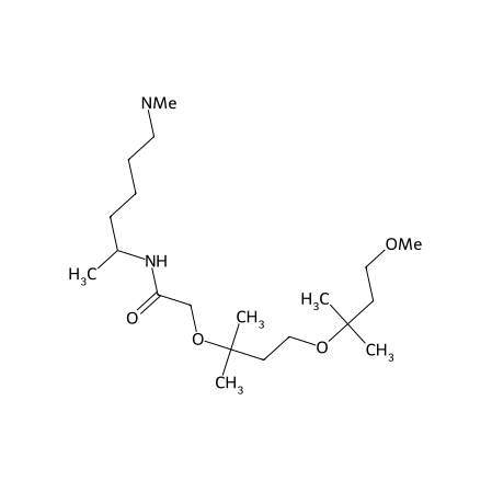 CNCCCCC(C)NC(=O)COC(C)(C)CCOC(C)(C)CCOC